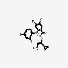 O=C(NOC(CO)C1CC1)c1cc(F)c(F)cc1Nc1ccc(I)cc1F